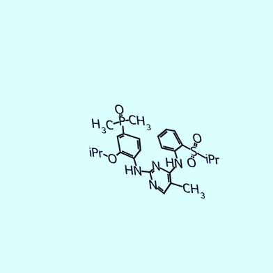 Cc1cnc(Nc2ccc(P(C)(C)=O)cc2OC(C)C)nc1Nc1ccccc1S(=O)(=O)C(C)C